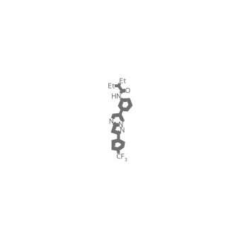 CCC(CC)C(=O)Nc1cccc(-c2cnc3cc(-c4ccc(C(F)(F)F)cc4)nn3c2)c1